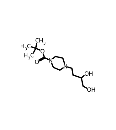 CC(C)(C)OC(=O)N1CCN(CCC(O)CO)CC1